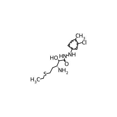 CCSCC[C@@H](N)C(O)C(=O)NNc1ccc(C)c(Cl)c1